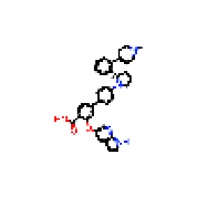 CN1CC=C(c2ccccc2[C@H]2CCCN2c2ccc(-c3ccc(C(=O)O)c(Oc4cnc5[nH]ccc5c4)c3)cc2)CC1